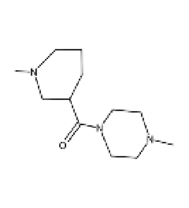 CN1CCN(C(=O)C2CCCN(C)C2)CC1